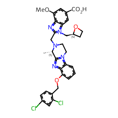 COc1cc(C(=O)O)cc2c1nc(CN1CCn3c(nc4c(OCc5ccc(Cl)cc5Cl)cccc43)[C@@H]1C)n2C[C@@H]1CCO1